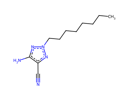 CCCCCCCCn1nc(N)c(C#N)n1